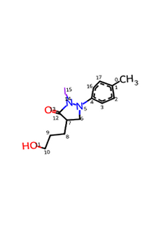 Cc1ccc(N2CC(CCCO)C(=O)N2I)cc1